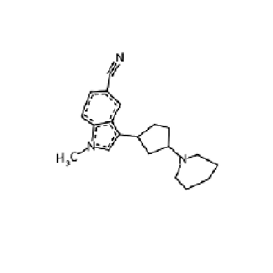 Cn1cc(C2CCC(N3CCCCC3)C2)c2cc(C#N)ccc21